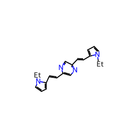 CCn1cccc1C=Cc1cnc(C=Cc2cccn2CC)cn1